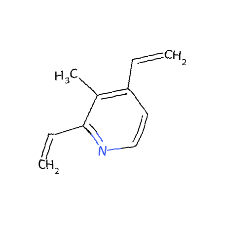 C=Cc1ccnc(C=C)c1C